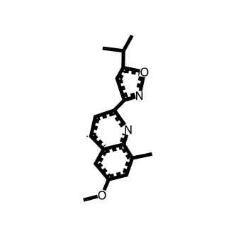 COc1cc(C)c2nc(-c3cc(C(C)C)on3)c[c]c2c1